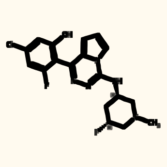 CN1C[C@H](F)C[C@@H](Nc2nnc(-c3c(O)cc(Cl)cc3F)c3cccn23)C1